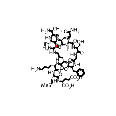 CSCC[C@H](NC(=O)[C@H](CCCCN)NC(=O)[C@H](CCCNC(=N)N)NC(=O)[C@H](Cc1ccccc1)NC(=O)CNC(=O)[C@H](CO)NC(=O)[C@H](CCC(N)=O)NC(=O)[C@H](CC(C)C)NC(=O)[C@@H](NC(=O)[C@H](C)N)C(C)C)C(=O)N[C@@H](CCC(=O)O)C(=O)O